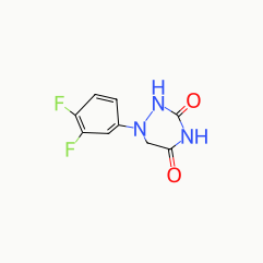 O=C1CN(c2ccc(F)c(F)c2)NC(=O)N1